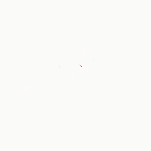 CC(C)P(=O)(c1ccc(N2CC[C@](O)(C(=O)NCc3cc(F)cc(Cl)c3)C2=O)cc1)C(C)C